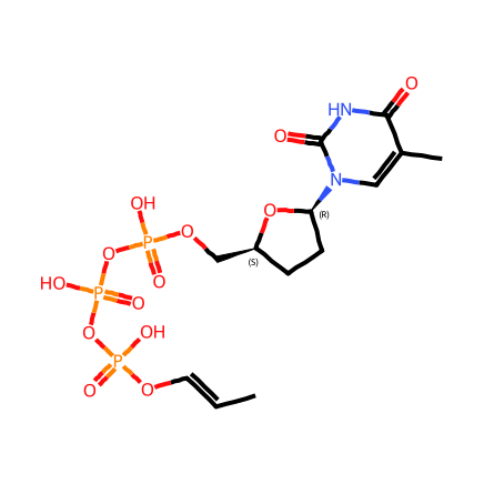 CC=COP(=O)(O)OP(=O)(O)OP(=O)(O)OC[C@@H]1CC[C@H](n2cc(C)c(=O)[nH]c2=O)O1